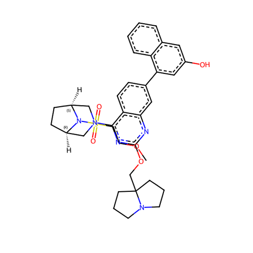 COCCS(=O)(=O)N1[C@@H]2CC[C@H]1CN(c1nc(OCC34CCCN3CCC4)nc3cc(-c4cc(O)cc5ccccc45)ccc13)C2